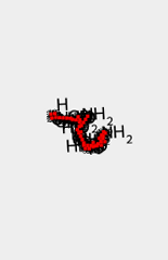 CC(C)[C@H](NC(=O)[C@H](N)CCCCNC(=O)COC1C#CCCCCC1)C(=O)N[C@@H](CCCNC(N)=O)C(=O)Nc1ccc(COC(=O)NCC(=O)Nc2ccc3c(c2)[C@@]2(C)CCC[C@](C)(C(=O)NC(=O)[C@@]4(C)CCC[C@]5(C)c6cc(N)ccc6CC[C@@H]45)[C@@H]2CC3)cc1